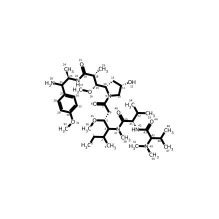 CCC(C)C([C@@H](CC(=O)N1C[C@@H](O)C[C@H]1[C@H](OC)[C@@H](C)C(=O)N[C@H](C)C(N)c1ccc(OC)cc1)OC)N(C)C(=O)[C@@H](NC(=O)C(C(C)C)N(C)C)C(C)C